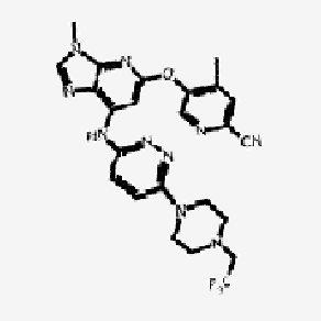 Cc1cc(C#N)ncc1Oc1cc(Nc2ccc(N3CCN(CC(F)(F)F)CC3)nn2)c2ncn(C)c2n1